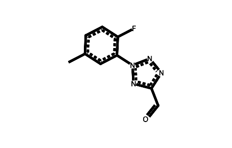 Cc1ccc(F)c(-n2nnc(C=O)n2)c1